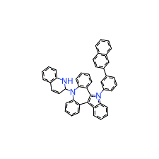 C1=CC(N2c3ccccc3-c3c(n(-c4cccc(-c5ccc6ccccc6c5)c4)c4ccccc34)-c3ccccc32)Nc2ccccc21